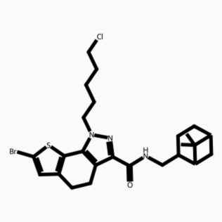 CC1(C)C2CCC(CNC(=O)c3nn(CCCCCCl)c4c3CCc3cc(Br)sc3-4)C1C2